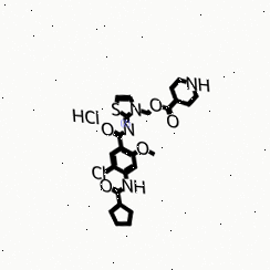 COc1cc(NC(=O)C2CCCC2)c(Cl)cc1C(=O)/N=c1\sccn1COC(=O)C1CCNCC1.Cl